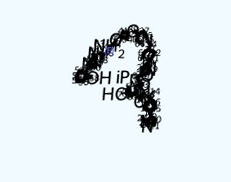 CC(C)[C@@H](C(=O)N1C[C@H](O)C[C@H]1C(=O)N[C@@H](C)c1ccc(-c2ccnn2C)cc1)c1cc(N2CCC(CN3CCC(O[C@H]4C[C@H](OC/C=C/c5cn6cc(-c7ccccc7O)nc6nc5N)C4)CC3)CC2)no1